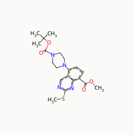 COC(=O)c1ccc(N2CCN(C(=O)OC(C)(C)C)CC2)c2cnc(SC)nc12